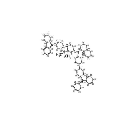 CC1(C)c2cc(N(c3ccc(-c4ccc5c(c4)c4ccccc4n5-c4ccccc4)cc3)c3cccc4ccccc34)ccc2-c2ccc(-n3c4ccccc4c4ccccc43)cc21